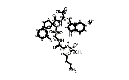 CS(=O)(=O)N[C@H](CCCCN)C(=O)N[C@H](Cc1ccccc1)P(=O)([O-])CC1(C(=O)N[C@@H](Cc2c[nH]c3ccccc23)C(=O)[O-])CCCC1.[Li+].[Li+]